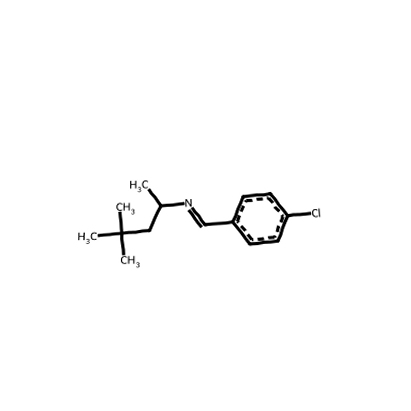 CC(CC(C)(C)C)N=Cc1ccc(Cl)cc1